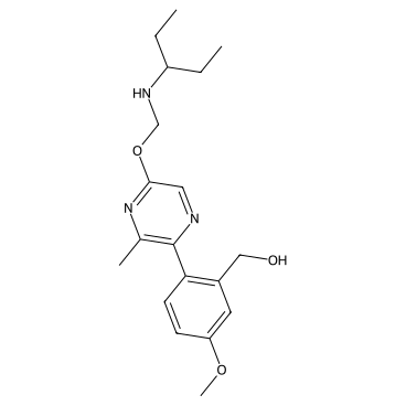 CCC(CC)NCOc1cnc(-c2ccc(OC)cc2CO)c(C)n1